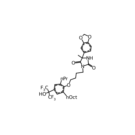 CCCCCCCCc1cc(C(O)(C(F)(F)F)C(F)(F)F)cc(CCC)c1OCCCCN1C(=O)NC(C)(c2ccc3c(c2)OCO3)C1=O